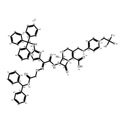 O=C(CON=C(C(=O)N[C@@H]1C(=O)N2C(C(=O)O)=C(CSc3cc[n+](CC(F)(F)F)cc3)CS[C@H]12)c1csc(NC(c2ccccc2)(c2ccccc2)c2ccccc2)n1)OC(c1ccccc1)c1ccccc1.[I-]